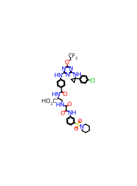 O=C(NC[C@H](NC(=O)c1ccc(Nc2nc(NC3(c4ccc(Cl)cc4)CC3)nc(OCC(F)(F)F)n2)cc1)C(=O)O)C(=O)Nc1cccc(S(=O)(=O)N2CCCCC2)c1